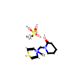 CC[N+]1(CN2CCCCC2=O)C=CSC=C1.CS(=O)(=O)[O-]